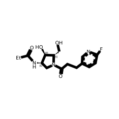 CCC(=O)N[C@H]1CN(C(=O)CCc2ccc(F)nc2)[C@@H](CO)[C@@H]1O